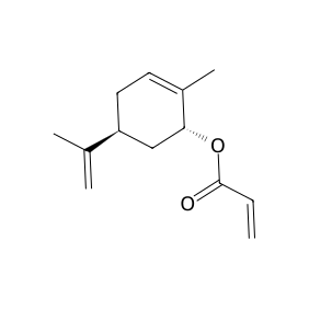 C=CC(=O)O[C@@H]1C[C@@H](C(=C)C)CC=C1C